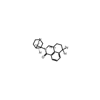 [2H]C1([2H])CC[C@@H]2CN([C@@H]3CN4CCC3CC4)C(=O)c3cccc1c32